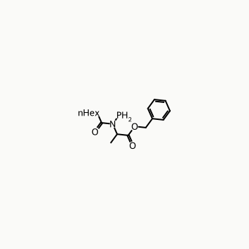 CCCCCCC(=O)N(P)C(C)C(=O)OCc1ccccc1